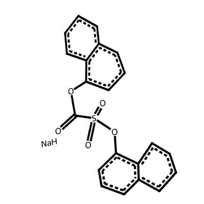 O=C(Oc1cccc2ccccc12)S(=O)(=O)Oc1cccc2ccccc12.[NaH]